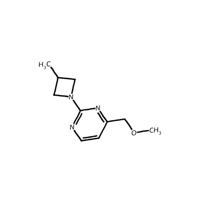 COCc1ccnc(N2CC(C)C2)n1